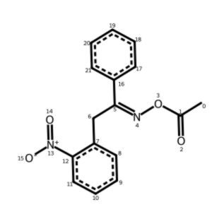 CC(=O)ON=C(Cc1ccccc1[N+](=O)[O-])c1ccccc1